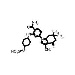 Cc1cn(-c2ccc(C(N)=O)c(N[C@H]3CC[C@H](OS(=O)(=O)O)CC3)c2)c2c1C(=O)CC(C)(C)C2